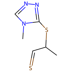 CC(C=S)Sc1nncn1C